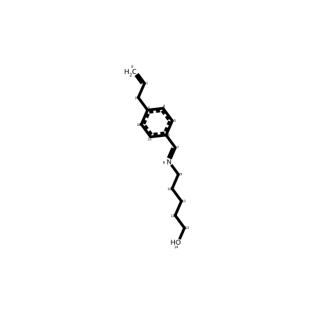 C=CCc1ccc(C=NCCCCCO)cc1